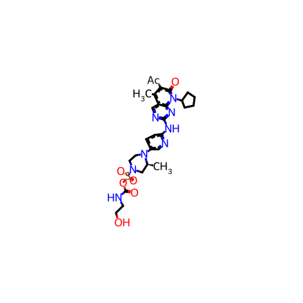 CC(=O)c1c(C)c2cnc(Nc3ccc(N4CCN(S(=O)(=O)OC(=O)NCCO)C[C@@H]4C)cn3)nc2n(C2CCCC2)c1=O